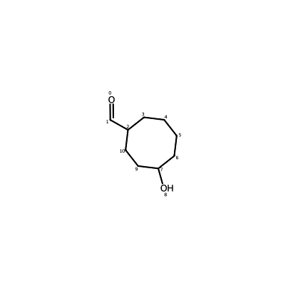 O=CC1CCCCC(O)CC1